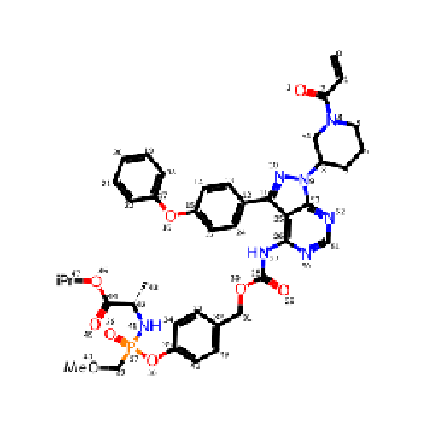 C=CC(=O)N1CCCC(n2nc(-c3ccc(Oc4ccccc4)cc3)c3c(NC(=O)OCc4ccc(OP(=O)(COC)N[C@@H](C)C(=O)OC(C)C)cc4)ncnc32)C1